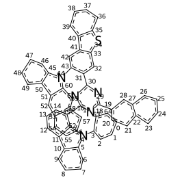 c1ccc(-n2c3ccccc3c3cccc(-c4nc(-c5ccc6ccccc6c5)nc(-c5cc6sc7ccccc7c6cc5-n5c6ccccc6c6cc7ccccc7cc65)n4)c32)cc1